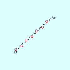 CCOCCOCCOCCOCCOCCOCCOCCC(C)=O